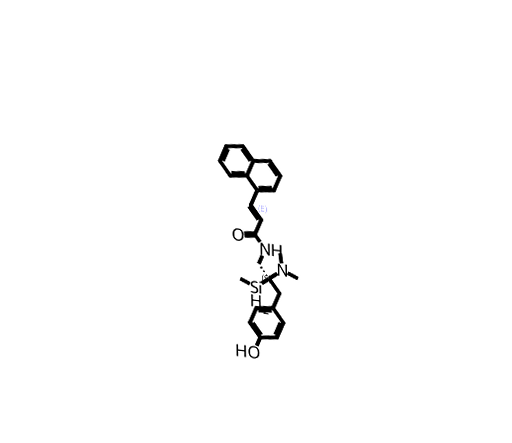 C[SiH2][C@](CNC(=O)/C=C/c1cccc2ccccc12)(Cc1ccc(O)cc1)N(C)C